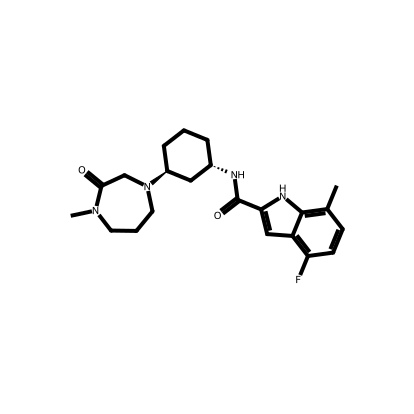 Cc1ccc(F)c2cc(C(=O)N[C@H]3CCC[C@H](N4CCCN(C)C(=O)C4)C3)[nH]c12